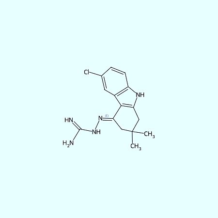 CC1(C)C/C(=N\NC(=N)N)c2c([nH]c3ccc(Cl)cc23)C1